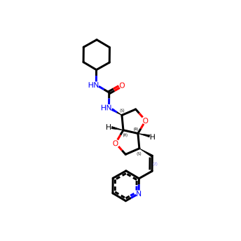 O=C(NC1CCCCC1)N[C@H]1CO[C@H]2[C@@H]1OC[C@@H]2/C=C\c1ccccn1